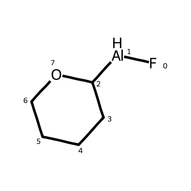 [F][AlH][CH]1CCCCO1